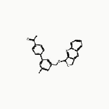 CC(=O)c1ccc(-c2cc(C)cc(COC3OCc4cc5ccccc5nc43)c2)cc1